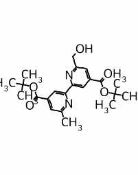 Cc1cc(C(=O)OC(C)(C)C)cc(-c2cc(C(=O)OC(C)(C)C)cc(CO)n2)n1